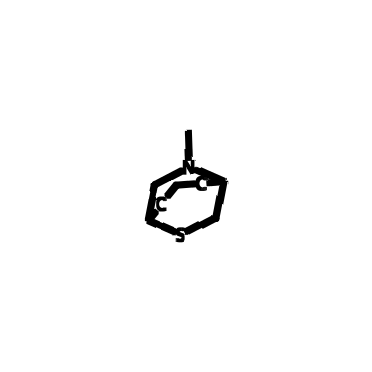 CN1CC2CCCC1CS2